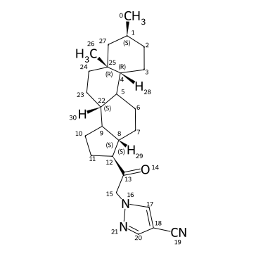 C[C@H]1CC[C@@H]2C3CC[C@H]4C(CC[C@@H]4C(=O)Cn4cc(C#N)cn4)[C@@H]3CC[C@]2(C)C1